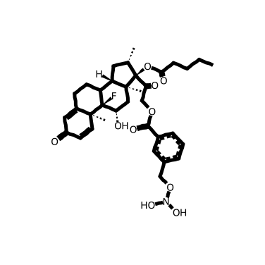 CCCCC(=O)O[C@]1(C(=O)COC(=O)c2cccc(CON(O)O)c2)[C@@H](C)C[C@H]2C3CCC4=CC(=O)C=C[C@]4(C)[C@@]3(F)[C@@H](O)C[C@@]21C